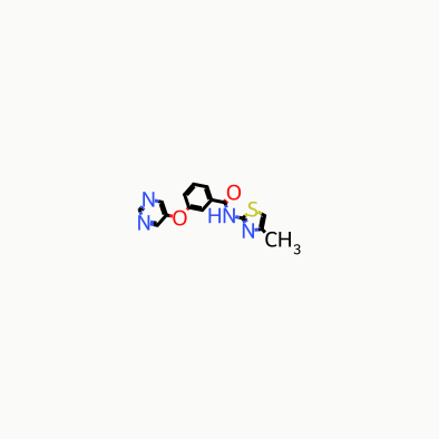 Cc1csc(NC(=O)c2cccc(Oc3cncnc3)c2)n1